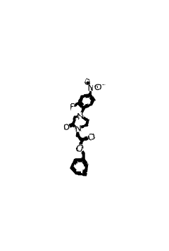 O=C(CN1CCN(c2ccc([N+](=O)[O-])cc2F)CC1=O)OCc1ccccc1